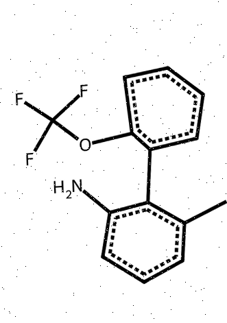 Cc1cccc(N)c1-c1ccccc1OC(F)(F)F